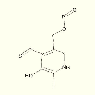 CC1=C(O)C(C=O)=C(COP=O)CN1